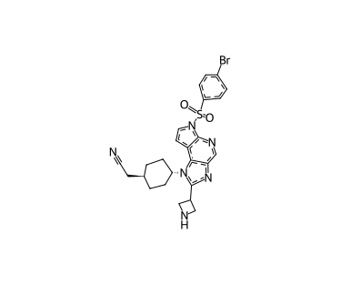 N#CC[C@H]1CC[C@H](n2c(C3CNC3)nc3cnc4c(ccn4S(=O)(=O)c4ccc(Br)cc4)c32)CC1